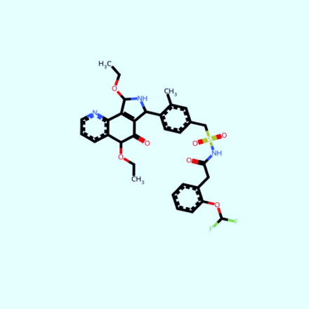 CCOC1NC(c2ccc(CS(=O)(=O)NC(=O)Cc3ccccc3OC(F)F)cc2C)C2=C1c1ncccc1C(OCC)C2=O